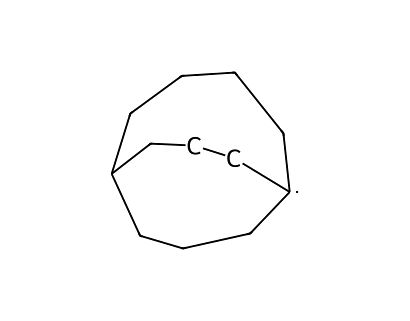 C1CCC2CCC[C](C1)CCC2